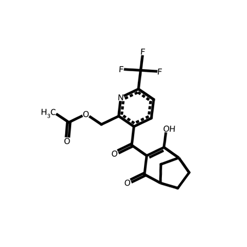 CC(=O)OCc1nc(C(F)(F)F)ccc1C(=O)C1=C(O)C2CCC(C2)C1=O